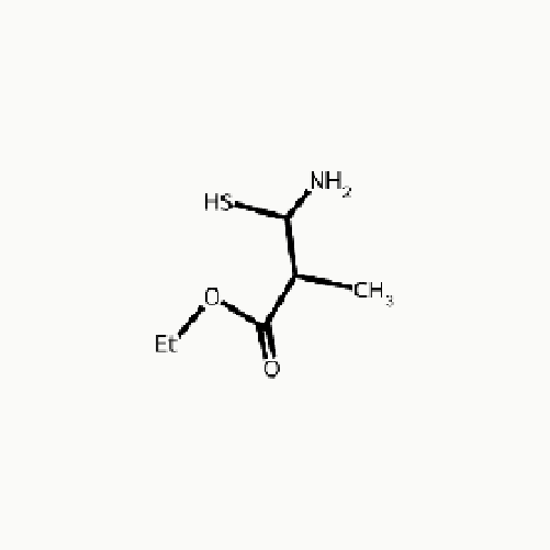 CCOC(=O)C(C)C(N)S